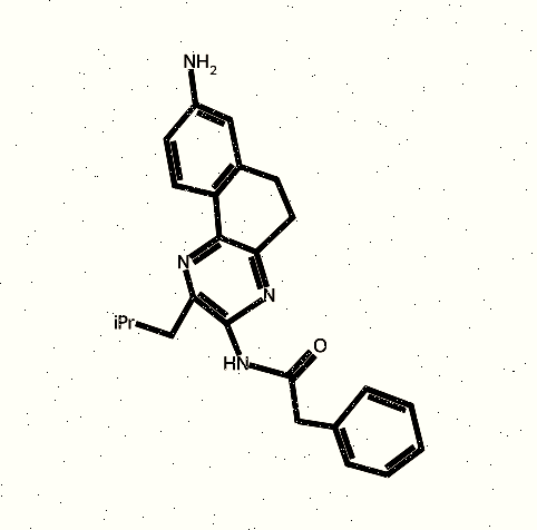 CC(C)Cc1nc2c(nc1NC(=O)Cc1ccccc1)CCc1cc(N)ccc1-2